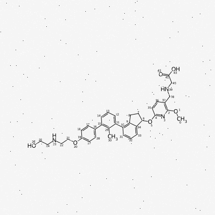 COc1nc(OC2CCc3c(-c4cccc(-c5ccc(OCCNCCO)cc5)c4C)cccc32)ccc1CNCC(=O)O